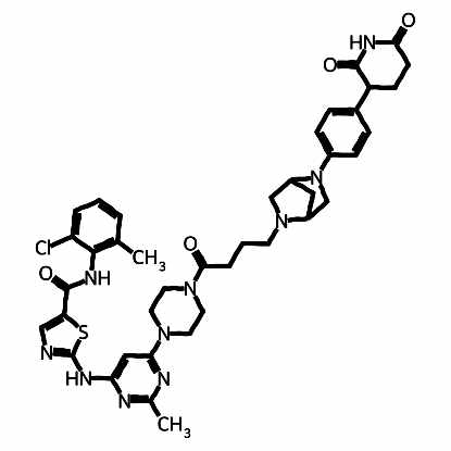 Cc1nc(Nc2ncc(C(=O)Nc3c(C)cccc3Cl)s2)cc(N2CCN(C(=O)CCCN3CC4CC3CN4c3ccc(C4CCC(=O)NC4=O)cc3)CC2)n1